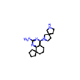 Nc1nc(N2CCC3(CCNC3)C2)c2c(n1)C1(CCCC1)CCC2